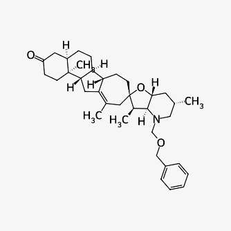 CC1=C2C[C@H]3[C@@H](CC[C@@H]4CC(=O)CC[C@@]43C)[C@@H]2CC[C@@]2(C1)O[C@@H]1C[C@H](C)CN(COCc3ccccc3)[C@H]1[C@H]2C